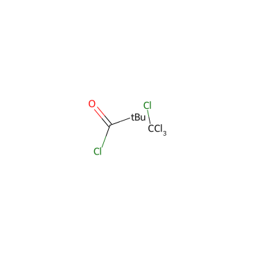 CC(C)(C)C(=O)Cl.ClC(Cl)(Cl)Cl